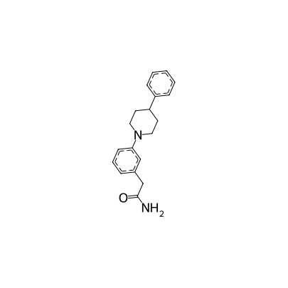 NC(=O)Cc1cccc(N2CCC(c3ccccc3)CC2)c1